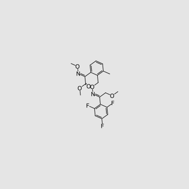 COC/C(=N\OCc1c(C)cccc1/C(=N\OC)C(=O)OC)c1c(F)cc(F)cc1F